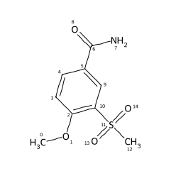 COc1ccc(C(N)=O)cc1S(C)(=O)=O